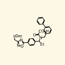 CCCCCCCCCCCc1noc(-c2ccc(C(CC)N(Cc3cccc(-c4ccccc4)c3)C(=O)C(=O)O)cc2)n1